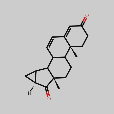 C[C@]12CCC(=O)C=C1C=CC1C2CC[C@]2(C)C(=O)[C@H]3CC3C12